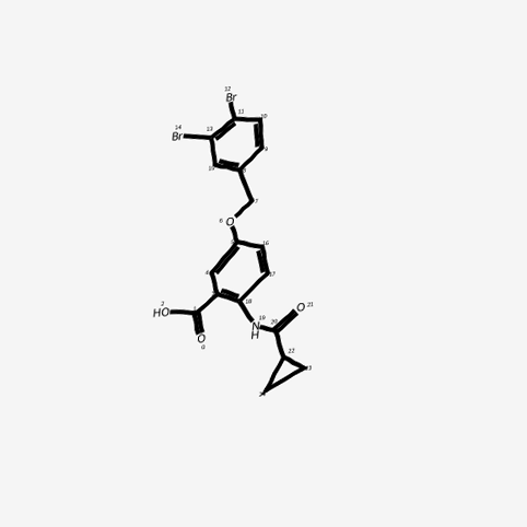 O=C(O)c1cc(OCc2ccc(Br)c(Br)c2)ccc1NC(=O)C1CC1